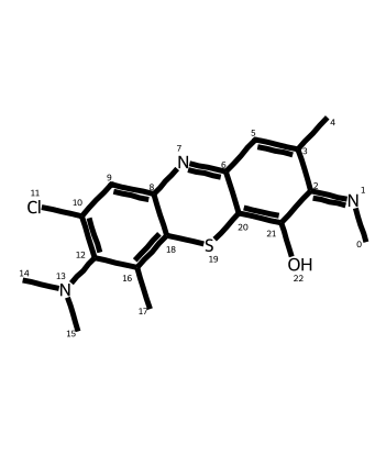 CN=c1c(C)cc2nc3cc(Cl)c(N(C)C)c(C)c3sc-2c1O